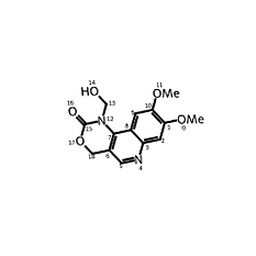 COc1cc2ncc3c(c2cc1OC)N(CO)C(=O)OC3